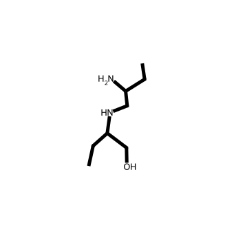 CCC(N)CNC(CC)CO